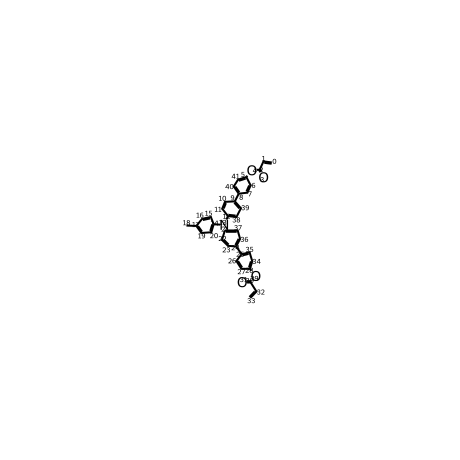 C=CC(=O)Oc1ccc(-c2ccc(N(c3ccc(C)cc3)c3ccc(-c4ccc(OC(=O)C=C)cc4)cc3)cc2)cc1